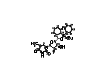 Cc1cn([C@@H]2O[C@H](CO[Si](c3ccccc3)(c3ccccc3)C(C)(C)C)[C@@H](O)[C@@H]2F)c(=O)[nH]c1=O